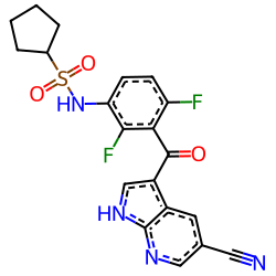 N#Cc1cnc2[nH]cc(C(=O)c3c(F)ccc(NS(=O)(=O)C4CCCC4)c3F)c2c1